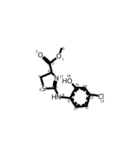 COC(=O)C1CSC(Nc2ccc(Cl)cc2O)=N1